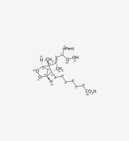 CCCCCC(C=C[C@@]1(C)[C@H]2C[C@@H](OO2)[C@]1(C)CCCCCCC(=O)O)OO